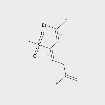 C=C(F)C/C=C(\C=C(\F)CC)S(C)(=O)=O